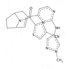 Cn1cc(Nc2nccc(C3=CC4CCC(C3)N4C(=O)c3cc(C#N)cs3)n2)cn1